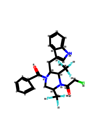 O=C(c1ccccc1)N1CC(C(F)(F)F)N(C(=O)CCl)C(C(F)(F)F)C1Cc1c[nH]c2ccccc12